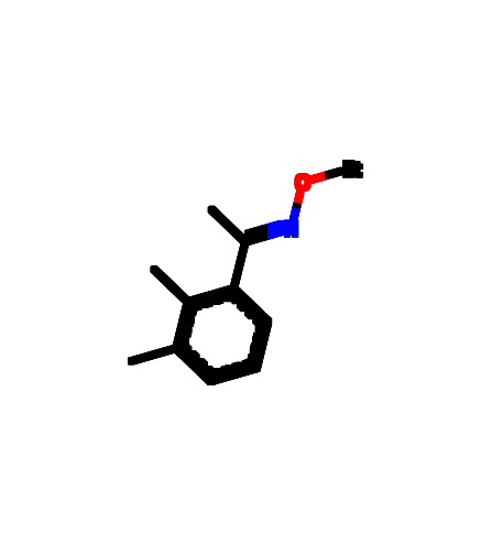 CCO/N=C(\C)c1cccc(C)c1C